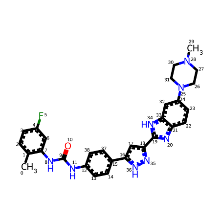 Cc1ccc(F)cc1NC(=O)Nc1ccc(-c2cc(-c3nc4ccc(N5CCN(C)CC5)cc4[nH]3)n[nH]2)cc1